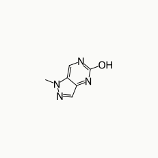 Cn1ncc2nc(O)ncc21